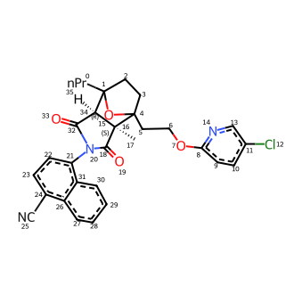 CCCC12CCC(CCOc3ccc(Cl)cn3)(O1)[C@@]1(C)C(=O)N(c3ccc(C#N)c4ccccc34)C(=O)[C@@H]21